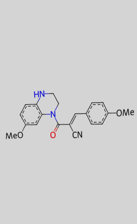 COc1ccc(C=C(C#N)C(=O)N2CCNc3ccc(OC)cc32)cc1